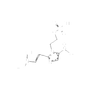 CN(C)/C=C/c1ncc([N+](=O)[O-])n1CCOS(C)(=O)=O